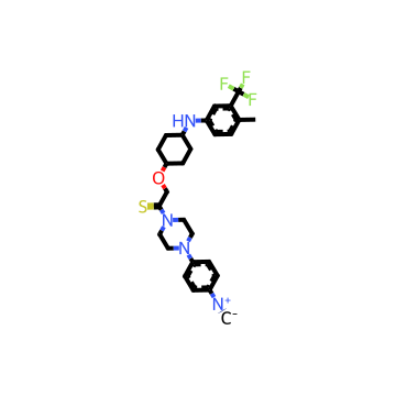 [C-]#[N+]c1ccc(N2CCN(C(=S)COC3CCC(Nc4ccc(C)c(C(F)(F)F)c4)CC3)CC2)cc1